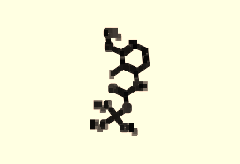 COc1nccc(NC(=O)OC(C)(C)C)c1I